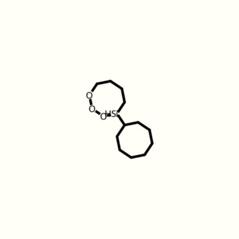 C1CCCC([SiH]2CCCCOOO2)CCC1